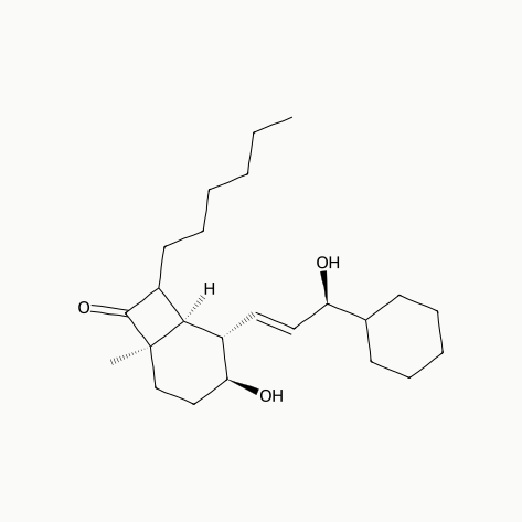 CCCCCCC1C(=O)[C@]2(C)CC[C@H](O)[C@@H](/C=C/[C@@H](O)C3CCCCC3)[C@H]12